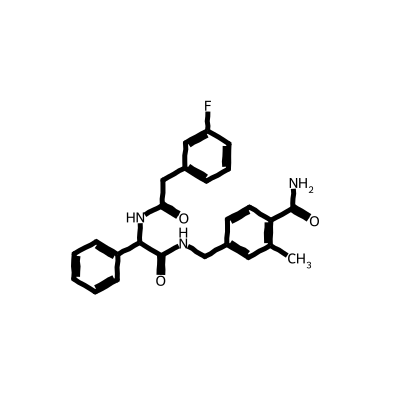 Cc1cc(CNC(=O)C(NC(=O)Cc2cccc(F)c2)c2ccccc2)ccc1C(N)=O